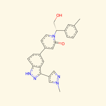 Cc1cccc([C@@H](CO)n2ccc(-c3ccc4[nH]nc(-c5cnn(C)c5)c4c3)cc2=O)c1